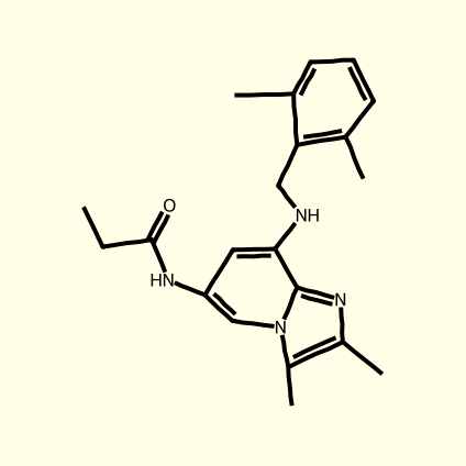 CCC(=O)Nc1cc(NCc2c(C)cccc2C)c2nc(C)c(C)n2c1